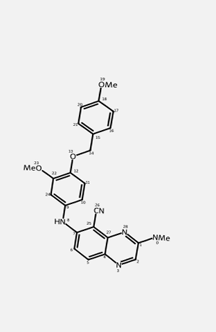 CNc1cnc2ccc(Nc3ccc(OCc4ccc(OC)cc4)c(OC)c3)c(C#N)c2n1